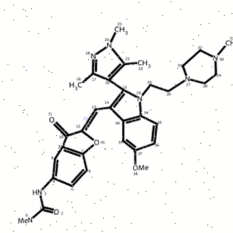 CNC(=O)Nc1ccc2c(c1)C(=O)/C(=C/c1c(-c3c(C)nn(C)c3C)n(CCN3CCN(C)CC3)c3ccc(OC)cc13)O2